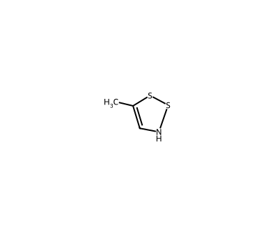 CC1=CNSS1